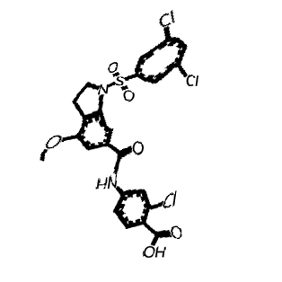 COc1cc(C(=O)Nc2ccc(C(=O)O)c(Cl)c2)cc2c1CCN2S(=O)(=O)c1cc(Cl)cc(Cl)c1